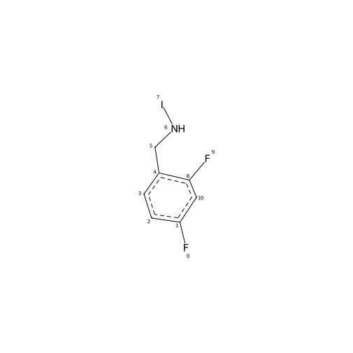 Fc1ccc(CNI)c(F)c1